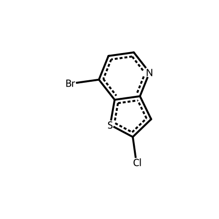 Clc1cc2nccc(Br)c2s1